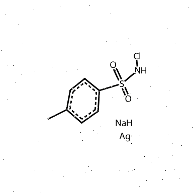 Cc1ccc(S(=O)(=O)NCl)cc1.[Ag].[NaH]